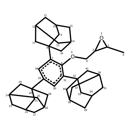 CC1OC1COc1c(C23CC4CC(CC(C4)C2)C3)cc(C23CC4CC(CC(C4)C2)C3)cc1C12CC3CC(CC(C3)C1)C2